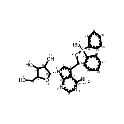 CC(C)(C)[Si](OCc1cn([C@@H]2OC(CO)C(O)C2O)c2ncnc(N)c12)(c1ccccc1)c1ccccc1